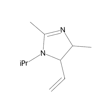 C=CC1C(C)N=C(C)N1C(C)C